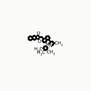 Cc1cnc2c(c1)-c1cccc3c(C=C4C(=O)c5cc6ccccc6cc5C4=O)ccc(c13)N2c1cc(C)c(C)c(C)c1